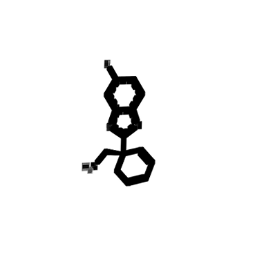 NC[C@@]1(c2nc3ccc(F)cc3s2)C=CC=CC1